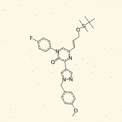 COc1ccc(Cn2cc(-c3nc(/C=C/CO[Si](C)(C)C(C)(C)C)cn(-c4ccc(F)cc4)c3=O)cn2)cc1